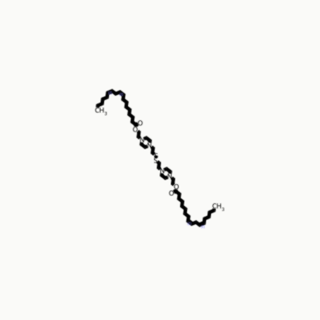 CCCCC/C=C\C/C=C\CCCCCCCC(=O)OCCN1CCN(CCSSCCN2CCN(CCOC(=O)CCCCCCC/C=C\C/C=C\CCCCC)CC2)CC1